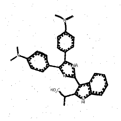 CC(C(=O)O)c1[nH]c2ccccc2c1-c1nc(-c2ccc(N(C)C)cc2)c(-c2ccc(N(C)C)cc2)[nH]1